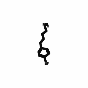 NCCCCc1ccc(Br)cc1